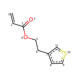 C=CC(=O)OCCc1ccsc1